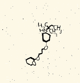 CCC(C)(C)N[C@H]1CC[C@H](OCCCOC2CCCCO2)CC1